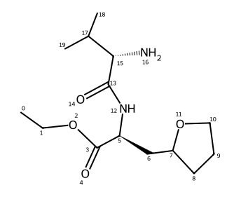 CCOC(=O)[C@H](CC1CCCO1)NC(=O)[C@@H](N)C(C)C